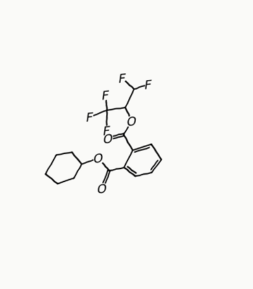 O=C(OC1CCCCC1)c1ccccc1C(=O)OC(C(F)F)C(F)(F)F